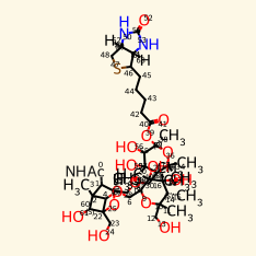 CC(=O)NC1C2(C)C(OC[C@]3(C)OC(C)(CO)[C@@H](C)C(C)(O)C3(C)O)C(CO)(O[C@]1(C)COC[C@]1(C)C(C)(C)O[C@](C)(OC(=O)CCCCC3SC[C@@H]4NC(=O)N[C@H]34)C(O)C1(C)O)[C@H]2O